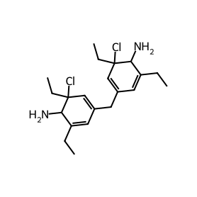 CCC1=CC(CC2=CC(Cl)(CC)C(N)C(CC)=C2)=CC(Cl)(CC)C1N